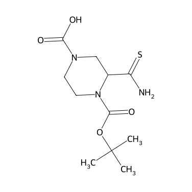 CC(C)(C)OC(=O)N1CCN(C(=O)O)CC1C(N)=S